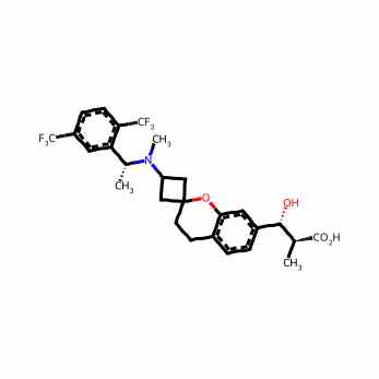 C[C@H](C(=O)O)[C@@H](O)c1ccc2c(c1)OC1(CC2)CC(N(C)[C@H](C)c2cc(C(F)(F)F)ccc2C(F)(F)F)C1